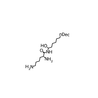 CCCCCCCCCCCCCCCC(O)NC(=O)[C@@H](N)CCCCN